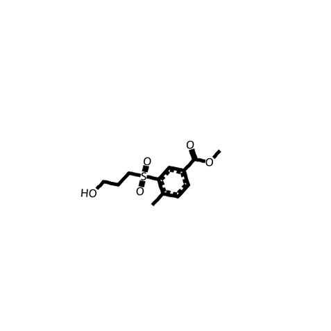 COC(=O)c1ccc(C)c(S(=O)(=O)CCCO)c1